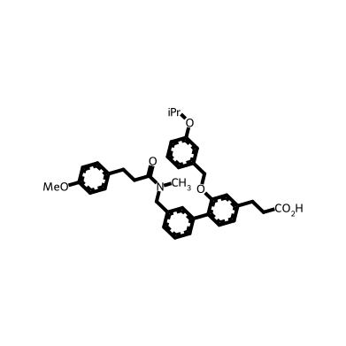 COc1ccc(CCC(=O)N(C)Cc2cccc(-c3ccc(CCC(=O)O)cc3OCc3cccc(OC(C)C)c3)c2)cc1